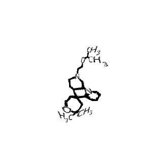 CC(C)OCCN1CCC(C2(c3ccccn3)CCOC(C)(C)C2)CC1